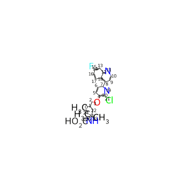 CC(COc1ccc(-c2ccnc3cc(F)ccc23)nc1Cl)CC(C)(C)NC(=O)O